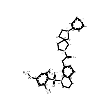 COc1cc(C)c(S(=O)(=O)N2CCCc3ccc(CC(=O)N4CCC5(CCN(c6ccncc6)C5)C4)cc32)c(C)c1